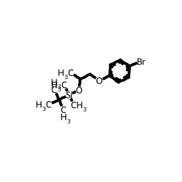 CC(COc1ccc(Br)cc1)O[Si](C)(C)C(C)(C)C